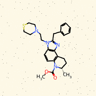 COC(=O)N1c2ccc3c(nc(Cc4ccccc4)n3CCN3CCSCC3)c2CC[C@@H]1C